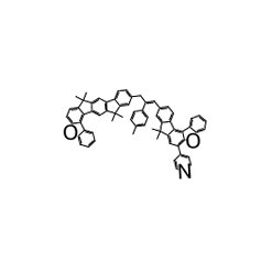 Cc1ccc(/C(=C\c2ccc3c(c2)C(C)(C)c2cc(-c4ccncc4)c4oc5ccccc5c4c2-3)Cc2ccc3c(c2)C(C)(C)c2cc4c(cc2-3)C(C)(C)c2ccc3oc5ccccc5c3c2-4)cc1